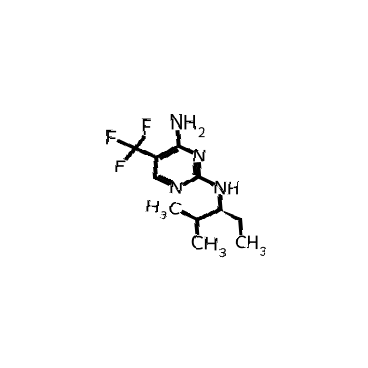 CC[C@H](Nc1ncc(C(F)(F)F)c(N)n1)C(C)C